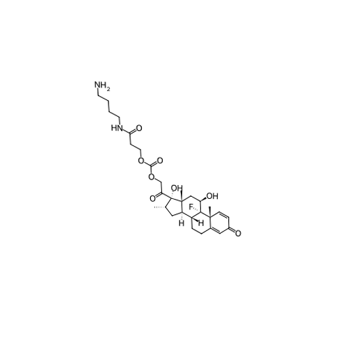 C[C@H]1C[C@@H]2[C@H]3CCC4=CC(=O)C=C[C@@]4(C)[C@]3(F)[C@H](O)C[C@@]2(C)[C@]1(O)C(=O)COC(=O)OCCC(=O)NCCCCN